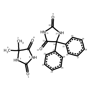 CC1(C)NC(=O)NC1=O.O=C1NC(=O)C(c2ccccc2)(c2ccccc2)N1